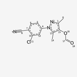 Cc1nn(-c2ccc(C#N)c(Cl)c2)c(C)c1OC=O